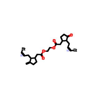 C=C1CCC(CC(=O)OCCOC(=O)CC2CCC(=O)C2C/C=C\CC)C1C/C=C\CC